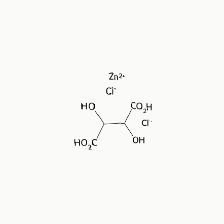 O=C(O)C(O)C(O)C(=O)O.[Cl-].[Cl-].[Zn+2]